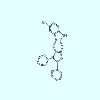 Brc1ccc2[nH]c3cc4cc(-c5ccccc5)n(-c5ccccc5)c4cc3c2c1